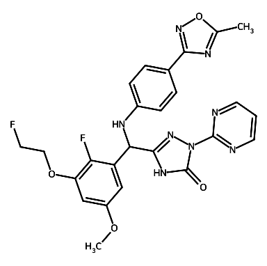 COc1cc(OCCF)c(F)c(C(Nc2ccc(-c3noc(C)n3)cc2)c2nn(-c3ncccn3)c(=O)[nH]2)c1